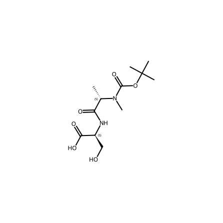 C[C@@H](C(=O)N[C@@H](CO)C(=O)O)N(C)C(=O)OC(C)(C)C